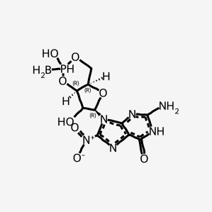 B[PH]1(O)OC[C@H]2O[C@@H](n3c([N+](=O)[O-])nc4c(=O)[nH]c(N)nc43)C(O)[C@H]2O1